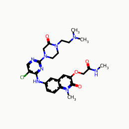 CNC(=O)COc1cc2cc(Nc3nc(N4CCN(CCN(C)C)C(=O)C4)ncc3Cl)ccc2n(C)c1=O